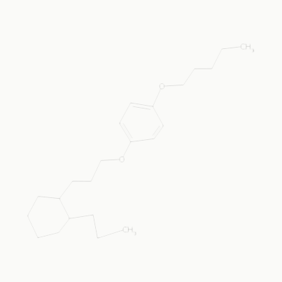 CCCCCOc1ccc(OCCCC2CCCCC2CCC)cc1